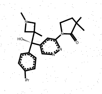 CC(C)c1ccc([C@](O)(c2cnnc(N3CCC(C)(C)C3=O)c2)C2(C)CN(C)C2)cc1